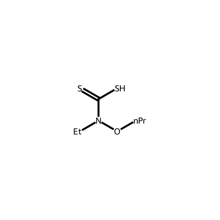 CCCON(CC)C(=S)S